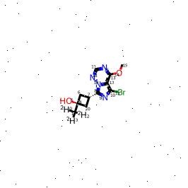 [2H]C([2H])([2H])[C@]1(O)C[C@H](c2nc(Br)c3c(OC)ncnn32)C1